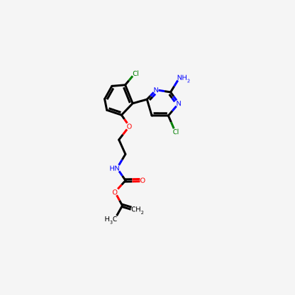 C=C(C)OC(=O)NCCOc1cccc(Cl)c1-c1cc(Cl)nc(N)n1